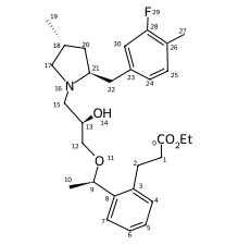 CCOC(=O)CCc1ccccc1[C@@H](C)OC[C@H](O)CN1C[C@H](C)C[C@H]1Cc1ccc(C)c(F)c1